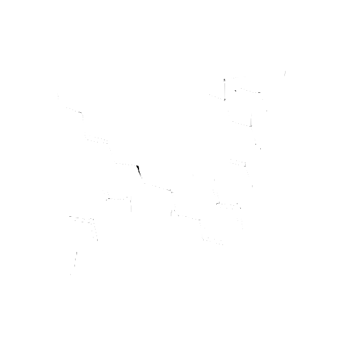 COC(=O)/C=C/CC[C@H](NC(=O)c1cc(Cl)sc1Cl)C(=O)Nc1cccn(CC(=O)NC23CC4(C)CC(C)(C2)C(C)(C4)C3)c1=O